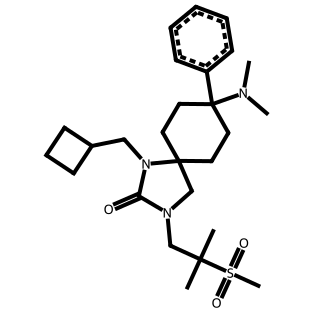 CN(C)C1(c2ccccc2)CCC2(CC1)CN(CC(C)(C)S(C)(=O)=O)C(=O)N2CC1CCC1